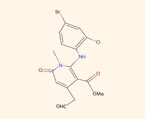 COC(=O)c1c(CC=O)cc(=O)n(C)c1Nc1ccc(Br)cc1Cl